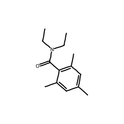 CCN(CC)C(=O)c1c(C)cc(C)cc1C